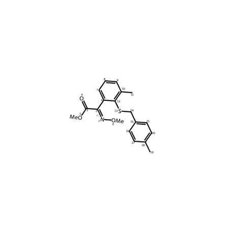 CO/N=C(/C(=O)OC)c1cccc(C)c1SCc1ccc(C)cc1